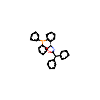 c1ccc(C(C2=N[C@@H](c3ccccc3P(c3ccccc3)c3ccccc3)CO2)c2ccccc2)cc1